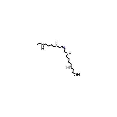 CCNCCCCNC/C=C\CNCCCCNCCO